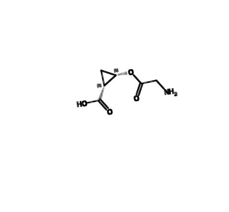 NCC(=O)O[C@H]1C[C@H]1C(=O)O